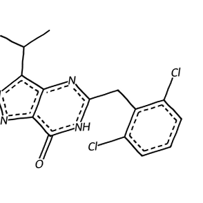 CC(C)c1n[nH]c2c(=O)[nH]c(Cc3c(Cl)cccc3Cl)nc12